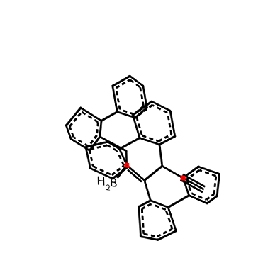 B/C(Cc1ccccc1-c1ccccc1)=C(\c1ccccc1-c1ccccc1)C(C#C)c1ccccc1-c1ccccc1